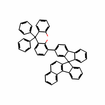 c1ccc(C2(c3ccccc3)c3ccccc3Oc3c(-c4ccc5c(c4)C4(c6ccccc6-5)c5ccccc5-c5c4ccc4ccccc54)cccc32)cc1